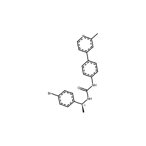 Cc1cc(-c2ccc(NC(=O)N[C@@H](C)c3ccc(Br)cc3)cc2)ccn1